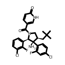 CC(C)(C)C[C@@H]1CN(C(=O)c2ccc(=O)[nH]c2)[C@H](c2cccc(Cl)c2F)[C@@]1(N)c1ccc(Cl)cc1F